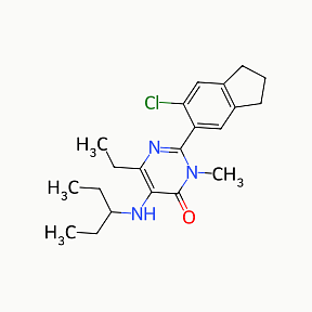 CCc1nc(-c2cc3c(cc2Cl)CCC3)n(C)c(=O)c1NC(CC)CC